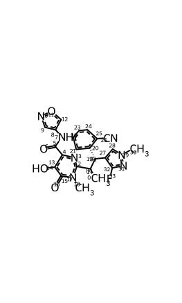 C[C@@H](c1nc(C(=O)Nc2cnoc2)c(O)c(=O)n1C)[C@H](c1ccccc1C#N)c1cn(C)nc1F